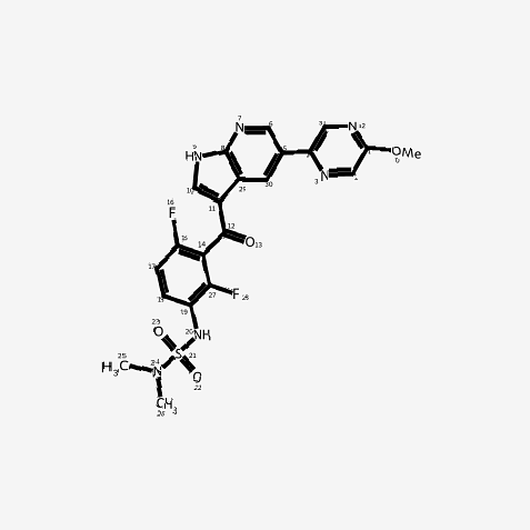 COc1cnc(-c2cnc3[nH]cc(C(=O)c4c(F)ccc(NS(=O)(=O)N(C)C)c4F)c3c2)cn1